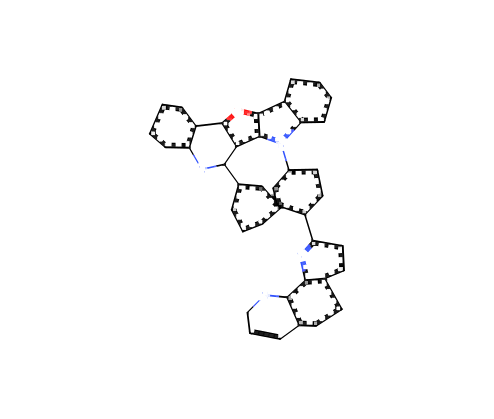 C1=Cc2ccc3ccc(-c4ccc(-n5c6ccccc6c6oc7c(c65)C(c5ccccc5)Nc5ccccc5-7)cc4)nc3c2NC1